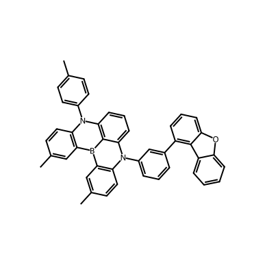 Cc1ccc(N2c3ccc(C)cc3B3c4cc(C)ccc4N(c4cccc(-c5cccc6oc7ccccc7c56)c4)c4cccc2c43)cc1